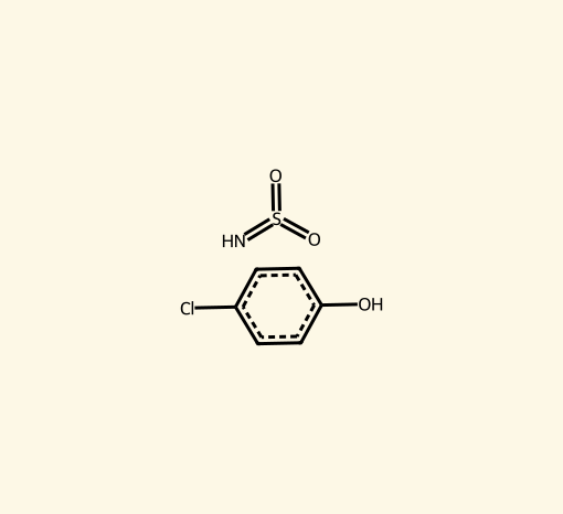 N=S(=O)=O.Oc1ccc(Cl)cc1